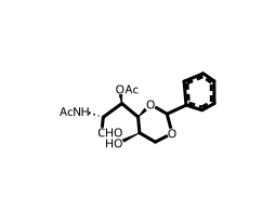 CC(=O)N[C@@H](C=O)[C@@H](OC(C)=O)[C@H]1OC(c2ccccc2)OC[C@H]1O